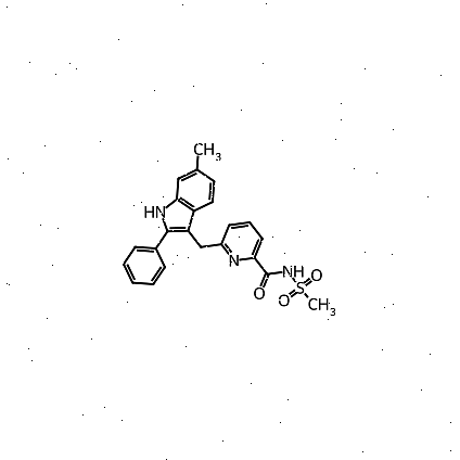 Cc1ccc2c(Cc3cccc(C(=O)NS(C)(=O)=O)n3)c(-c3ccccc3)[nH]c2c1